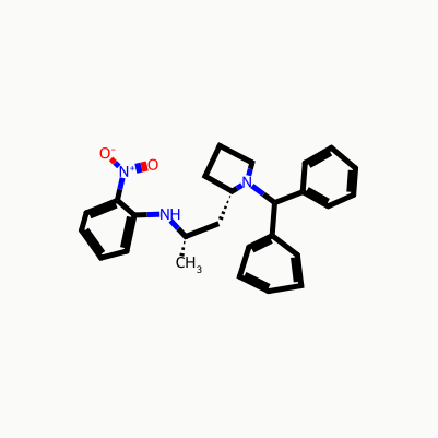 C[C@@H](C[C@@H]1CCCN1C(c1ccccc1)c1ccccc1)Nc1ccccc1[N+](=O)[O-]